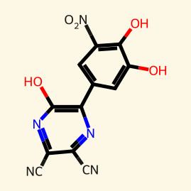 N#Cc1nc(O)c(-c2cc(O)c(O)c([N+](=O)[O-])c2)nc1C#N